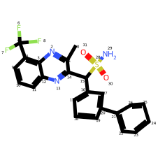 Cc1nc2c(C(F)(F)F)cccc2nc1C(c1cccc(-c2ccccc2)c1)S(N)(=O)=O